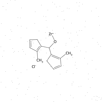 CC1=C(C([O][Zr+])C2=C(C)C=CC2)CC=C1.[Cl-]